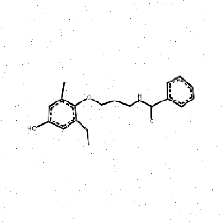 CCc1cc(O)cc(C)c1OCCCNC(=O)c1ccccc1